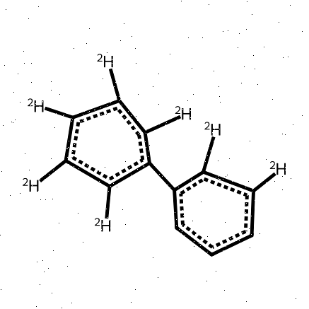 [2H]c1cccc(-c2c([2H])c([2H])c([2H])c([2H])c2[2H])c1[2H]